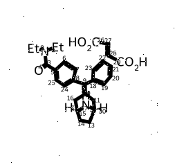 CCN(CC)C(=O)c1ccc(C(=C2C[C@H]3CC[C@@H](C2)N3)c2ccccc2)cc1.O=C(O)/C=C/C(=O)O